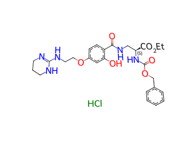 CCOC(=O)[C@H](CNC(=O)c1ccc(OCCNC2=NCCCN2)cc1O)NC(=O)OCc1ccccc1.Cl